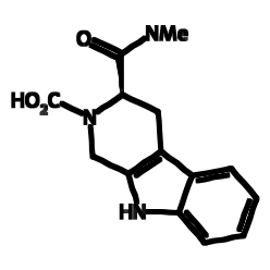 CNC(=O)[C@H]1Cc2c([nH]c3ccccc23)CN1C(=O)O